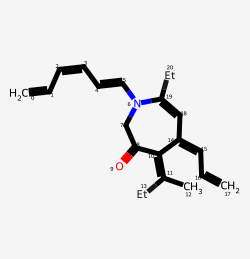 C=C/C=C\C=C\N1CC(=O)C(=C(/C)CC)/C(=C\C=C)C=C1CC